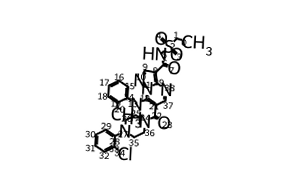 CCS(=O)(=O)NC(=O)c1cnn2c(Nc3ccccc3C)c(C(=O)N3CCN(c4ccccc4Cl)CC3)cnc12